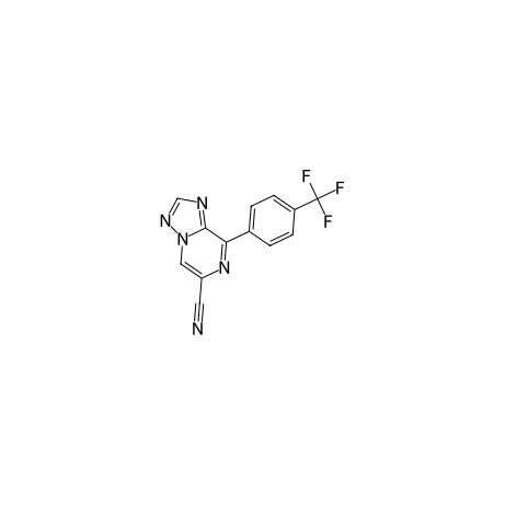 N#Cc1cn2ncnc2c(-c2ccc(C(F)(F)F)cc2)n1